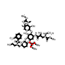 CN(C(=O)OC(C)(C)C)[C@@H]1[C@@H](O)[C@@H](O[C@@H]2[C@@H](O)[C@H](O[C@H]3O[C@H](CN(CCO)S(=O)(=O)c4ccccc4[N+](=O)[O-])CC[C@H]3NC(=O)OC(C)(C)C)[C@@H](NC(=O)OC(C)(C)C)C[C@H]2NC(=O)C(O)CN(NC(=O)O)C(=O)OC(C)(C)C)OC[C@]1(C)O